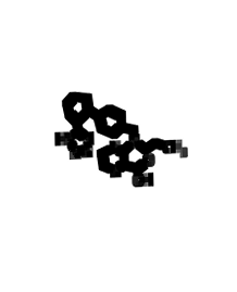 CCCN(Cc1ccc(-c2ccccc2-c2nnn[nH]2)cc1)c1nccnc1C(=O)O